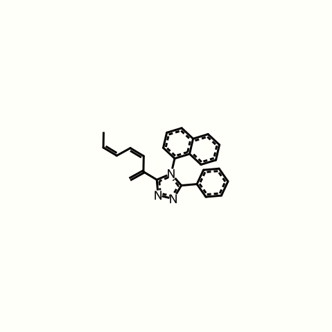 C=C(/C=C\C=C/C)c1nnc(-c2ccccc2)n1-c1cccc2ccccc12